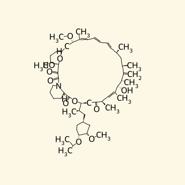 C=C1[C@H](C)C[C@H](C)/C=C/C=C/C=C(\C)[C@@H](OC)C[C@@H]2CC[C@@H](C)[C@@](O)(O2)C(=O)C(=O)N2CCCC[C@H]2C(=O)O[C@H]([C@H](C)C[C@@H]2CC[C@@H](OC(C)C)[C@H](OC)C2)CC(=O)[C@H](C)/C=C(\C)[C@@H](O)[C@H]1C